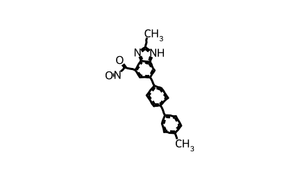 Cc1ccc(-c2ccc(-c3cc(C(=O)N=O)c4nc(C)[nH]c4c3)cc2)cc1